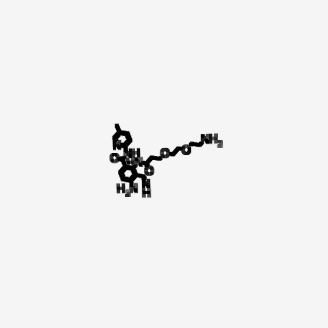 Cc1ccc(NC(=O)c2ccc(N)c(C=N)c2NC(=O)CCOCCOCCN)nc1